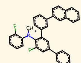 CN(c1ccccc1F)c1c(F)cc(-c2ccccc2)cc1-c1cccc(-c2ccc3ccccc3c2)c1